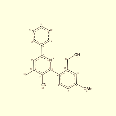 COc1ccc(-c2nc(-c3cccnc3)cc(C)c2C#N)c(CO)c1